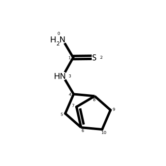 NC(=S)NC1CC2=CC1CC2